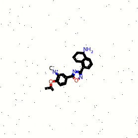 [C-]#[N+]c1cc(-c2nc(-c3cccc4c3CCC[C@@H]4N)no2)ccc1OC(C)C